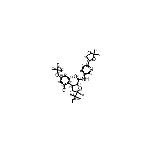 CC1(C)OCC(c2ccc(NC(=O)C3OC(C)(C(F)(F)F)CC3c3ccc(OC(F)(F)F)cc3Cl)cn2)O1